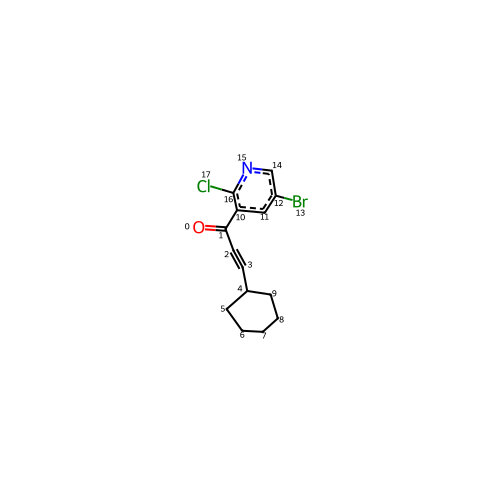 O=C(C#CC1CCCCC1)c1cc(Br)cnc1Cl